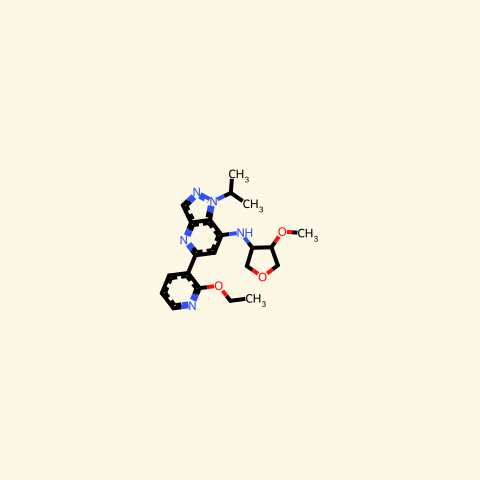 CCOc1ncccc1-c1cc(NC2COCC2OC)c2c(cnn2C(C)C)n1